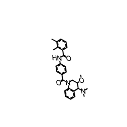 COC1CN(C(=O)c2ccc(NC(=O)c3cccc(C)c3C)cc2)c2ccccc2C1N(C)C